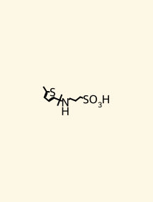 Cc1ccc(C(C)(C)NCCCS(=O)(=O)O)s1